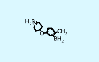 Bc1cc(OC2CCN(B)CC2)ccc1C